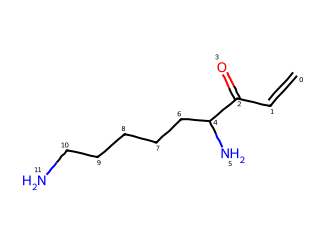 C=CC(=O)C(N)CCCCCN